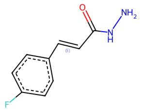 NNC(=O)/C=C/c1ccc(F)cc1